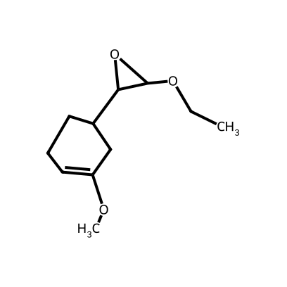 CCOC1OC1C1CCC=C(OC)C1